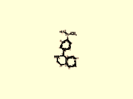 CN(C)c1ccc(C2NCCc3ccccc32)cn1